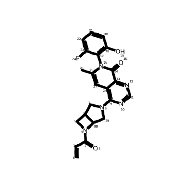 C=CC(=O)N1CC2CN(c3ncnc4c(=O)n(-c5c(O)cccc5F)c(C)cc34)CC21